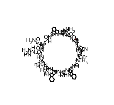 CCCC[C@H]1C(=O)N[C@@H](CCCNC(=N)N)C(=O)N[C@H](C(=O)NCC(N)=O)CSCC(=O)N[C@@H](Cc2ccccc2)C(=O)N(C)[C@@H](C)C(=O)N[C@@H](CC(N)=O)C(=O)N2CCC[C@H]2C(=O)N[C@@H](Cc2cnc[nH]2)C(=O)N[C@@H](CC(C)C)C(=O)N(C)CC(=O)N[C@@H](Cc2c[nH]c3ccccc23)C(=O)N[C@@H](CO)C(=O)N[C@@H](Cc2c[nH]c3ccccc23)C(=O)N[C@@H](C)C(=O)N1C